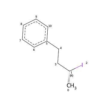 C[C@@H](I)CCc1ccccc1